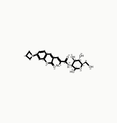 N#C/C(=C\c1cc2ccc(N3CCC3)cc2oc1=O)C(=O)N[C@H]1C(O)O[C@H](CO)[C@@H](O)[C@@H]1O